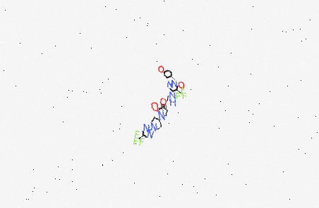 COc1ccc(Cn2ncc(NCCO[C@@H]3CCN(C4CCN(c5ncc(C(F)(F)F)cn5)CC4)C3=O)c(C(F)(F)F)c2=O)cc1